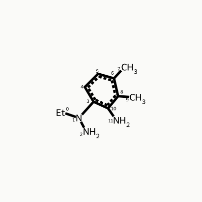 CCN(N)c1ccc(C)c(C)c1N